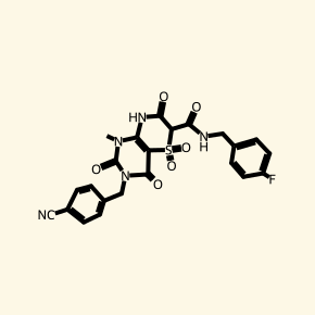 Cn1c2c(c(=O)n(Cc3ccc(C#N)cc3)c1=O)S(=O)(=O)C(C(=O)NCc1ccc(F)cc1)C(=O)N2